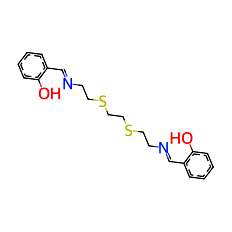 Oc1ccccc1C=NCCSCCSCCN=Cc1ccccc1O